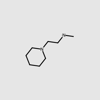 C[N]CCN1CCCCC1